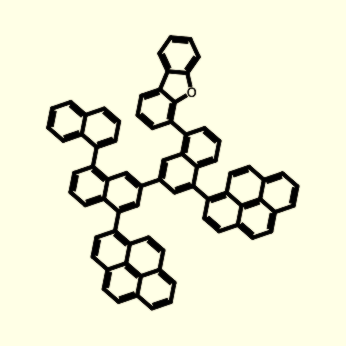 c1ccc2c(-c3cccc4c(-c5ccc6ccc7cccc8ccc5c6c78)cc(-c5cc(-c6ccc7ccc8cccc9ccc6c7c89)c6cccc(-c7cccc8c7oc7ccccc78)c6c5)cc34)cccc2c1